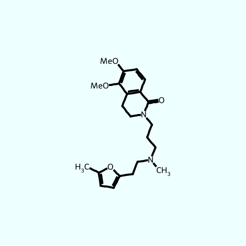 COc1ccc2c(c1OC)CCN(CCCN(C)CCc1ccc(C)o1)C2=O